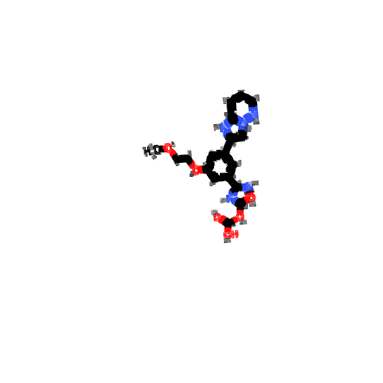 COCCOc1cc(-c2cn3ncccc3n2)cc(-c2noc(OC(=O)O)n2)c1